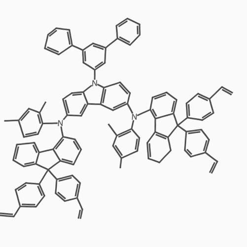 C=Cc1ccc(C2(c3ccc(C=C)cc3)C3=C(C=CCC3)c3c(N(c4ccc5c(c4)c4cc(N(c6ccc(C)cc6C)c6cccc7c6-c6ccccc6C7(c6ccc(C=C)cc6)c6ccc(C=C)cc6)ccc4n5-c4cc(-c5ccccc5)cc(-c5ccccc5)c4)c4ccc(C)cc4C)cccc32)cc1